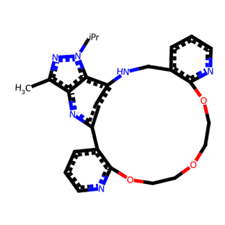 Cc1nn(C(C)C)c2c3cc(nc12)-c1cccnc1OCCOCCOc1ncccc1CN3